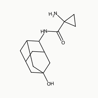 NC1(C(=O)NC2C3CC4CC2CC(O)(C4)C3)CC1